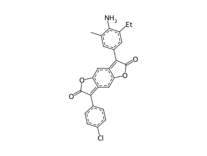 CCc1cc(C2=c3cc4c(cc3OC2=O)=C(c2ccc(Cl)cc2)C(=O)O4)cc(C)c1N